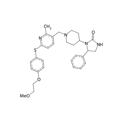 COCCOc1ccc(Sc2ccc(CN3CCC(N4C(=O)NCC4c4ccccc4)CC3)c(C)n2)cc1